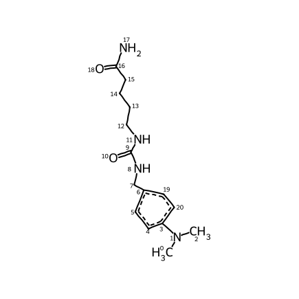 CN(C)c1ccc(CNC(=O)NCCCCC(N)=O)cc1